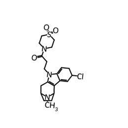 CN1C2CCC1c1c(n(CCC(=O)N3CCS(=O)(=O)CC3)c3c1=CC(Cl)CC=3)C2